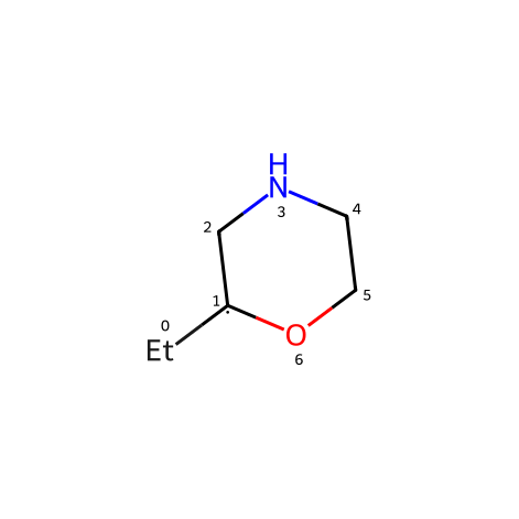 CC[C]1CNCCO1